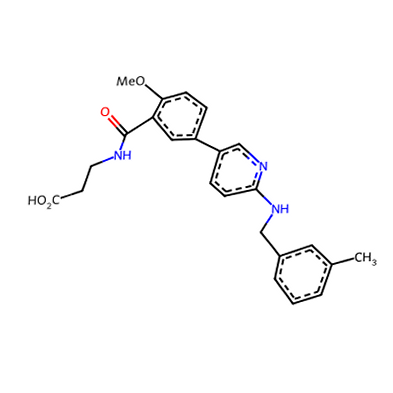 COc1ccc(-c2ccc(NCc3cccc(C)c3)nc2)cc1C(=O)NCCC(=O)O